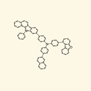 c1ccc(-n2c3cc(-c4ccc(N(c5ccc(-c6ccc7ccccc7c6)cc5)c5ccc(-c6cccc7oc8ccccc8c67)cc5)cc4)ccc3c3ccc4ccccc4c32)cc1